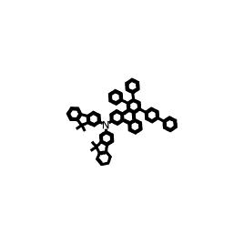 CC1(C)C2=C(CCC=C2)c2ccc(N(c3ccc4c(c3)C(C)(C)c3ccccc3-4)c3ccc4c(c3)c3ccccc3c3c(-c5ccc(-c6ccccc6)cc5)cc(-c5ccccc5)c(-c5ccccc5)c43)cc21